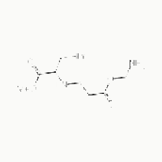 COC(=O)C(CC(C)C)NCCC(=O)OCN